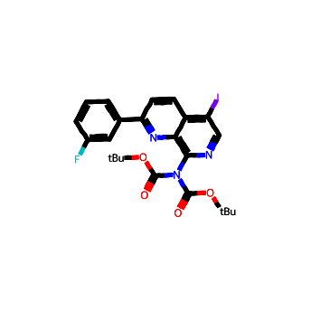 CC(C)(C)OC(=O)N(C(=O)OC(C)(C)C)c1ncc(I)c2ccc(-c3cccc(F)c3)nc12